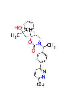 C[C@@H](c1ccc(-c2ccc(C(C)(C)C)nn2)cc1)N1CC[C@](CC(C)(C)O)(c2ccccc2)OC1=O